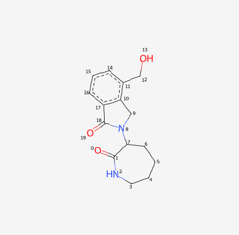 O=C1NCCCCC1N1Cc2c(CO)cccc2C1=O